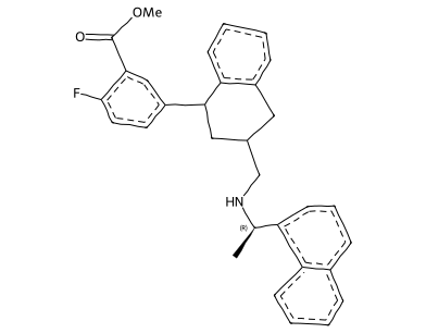 COC(=O)c1cc(C2CC(CN[C@H](C)c3cccc4ccccc34)Cc3ccccc32)ccc1F